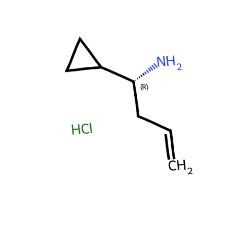 C=CC[C@@H](N)C1CC1.Cl